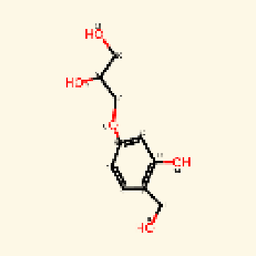 OCc1ccc(OCC(O)CO)cc1O